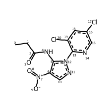 CCC(=O)Nc1c([N+](=O)[O-])cnn1-c1ncc(Cl)cc1Cl